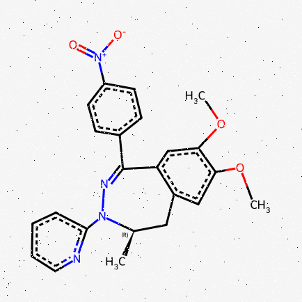 COc1cc2c(cc1OC)C(c1ccc([N+](=O)[O-])cc1)=NN(c1ccccn1)[C@H](C)C2